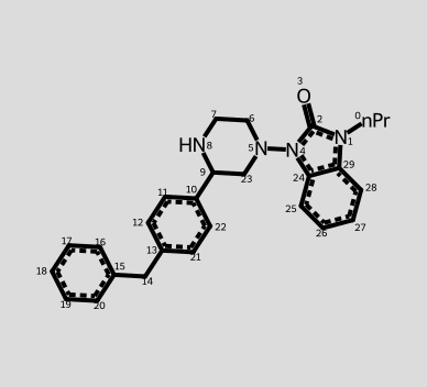 CCCn1c(=O)n(N2CCNC(c3ccc(Cc4ccccc4)cc3)C2)c2ccccc21